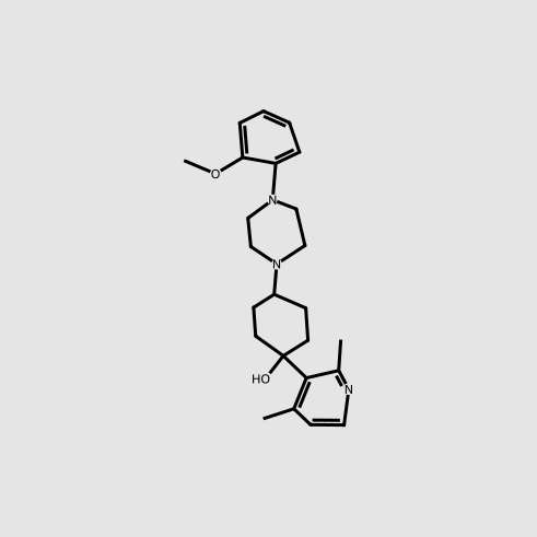 COc1ccccc1N1CCN(C2CCC(O)(c3c(C)ccnc3C)CC2)CC1